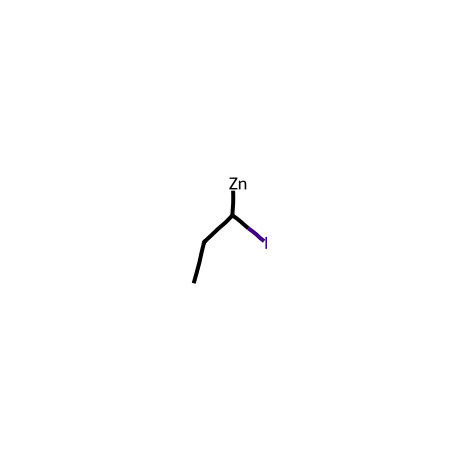 CC[CH]([Zn])I